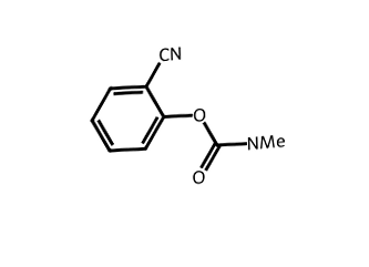 CNC(=O)Oc1ccccc1C#N